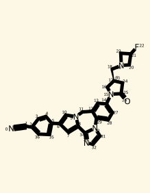 N#Cc1ccc(-c2cc3n(c2)Cc2cc(N4C[C@@H](CN5CC(F)C5)CC4=O)ccc2-n2ccnc2-3)cc1